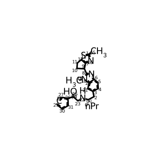 CCC[C@@H](Cc1ccc2nc(C3CCc4sc(C)nc43)n(C)c2c1)NC[C@H](O)c1ccccc1